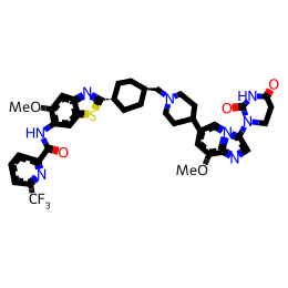 COc1cc2nc([C@H]3CC[C@H](CN4CCC(c5cc(OC)c6ncc(N7CCC(=O)NC7=O)n6c5)CC4)CC3)sc2cc1NC(=O)c1cccc(C(F)(F)F)n1